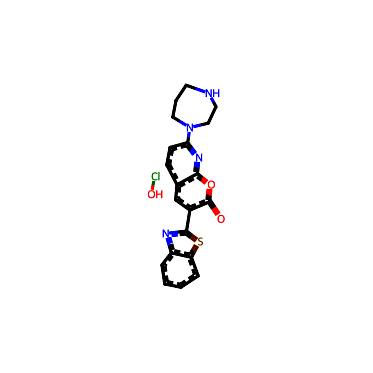 O=c1oc2nc(N3CCCNCC3)ccc2cc1-c1nc2ccccc2s1.OCl